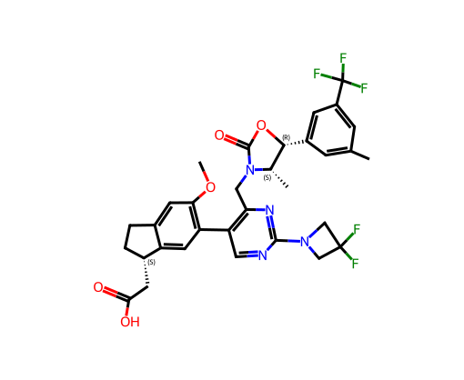 COc1cc2c(cc1-c1cnc(N3CC(F)(F)C3)nc1CN1C(=O)O[C@H](c3cc(C)cc(C(F)(F)F)c3)[C@@H]1C)[C@H](CC(=O)O)CC2